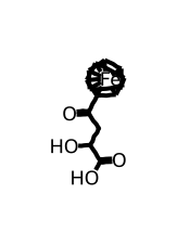 O=C(O)C(O)CC(=O)[C]12[CH]3[CH]4[CH]5[CH]1[Fe]45321678[CH]2[CH]1[CH]6[CH]7[CH]28